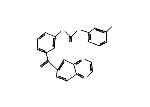 O=C(Nc1cccc(F)c1)Nc1cccc(C(=O)c2ccc3nccnc3c2)c1